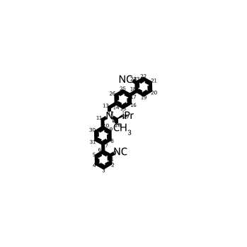 [C-]#[N+]c1ccccc1-c1ccc(CN(Cc2ccc(-c3ccccc3C#N)cc2)[C@H](C)C(C)C)cc1